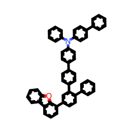 c1ccc(-c2ccc(N(c3ccccc3)c3ccc(-c4ccc(-c5cc(-c6cccc7c6oc6ccccc67)ccc5-c5ccccc5)cc4)cc3)cc2)cc1